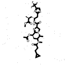 COC(=O)[C@@H](C)C[C@H](Cc1nc(C(F)(F)F)cs1)NC(=O)C1CSC([C@@H](CC(C(C)C)N(C)C(=O)CCC2CC2)OC(C)=O)=N1